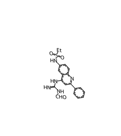 CCS(=O)(=O)Nc1ccc2nc(-c3ccccc3)cc(NC(=N)NC=O)c2c1